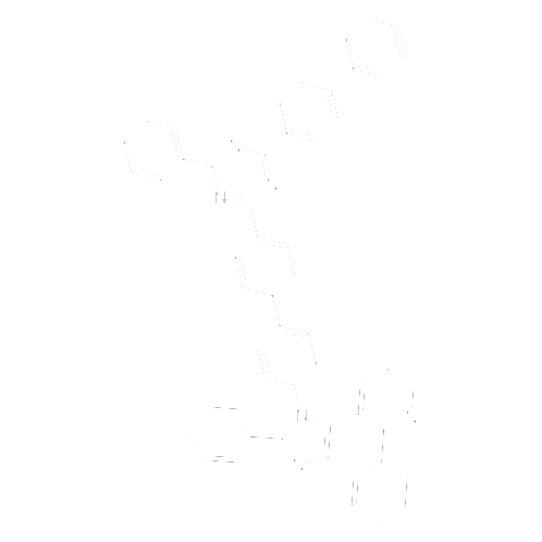 c1ccc(-c2ccc(-c3nc(-c4ccccc4)nc(-c4ccc(-c5ccc(-n6c(-c7ccccc7)nc7c8ccccc8c8ncccc8c76)cc5)cc4)n3)cc2)cc1